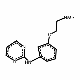 CNCCOc1cccc(Nc2ncccn2)c1